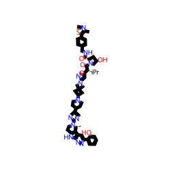 Cc1ncsc1-c1ccc(CNC(=O)[C@@H]2C[C@@H](O)CN2C(=O)[C@@H](c2cc(N3CC4(CC(N5CCC(c6cnc(N7CCc8[nH]c9nnc(-c%10ccccc%10O)cc9c8[C@H]7C)nc6)CC5)C4)C3)no2)C(C)C)cc1